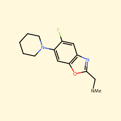 CNCc1nc2cc(F)c(N3CCCCC3)cc2o1